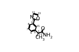 C[C@@H](C(N)=O)c1cccc(-c2ncco2)c1